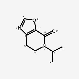 CC(C)N1CCc2ncoc2C1=O